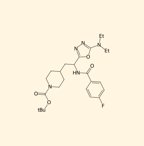 CCN(CC)c1nnc(C(CC2CCN(C(=O)OC(C)(C)C)CC2)NC(=O)c2ccc(F)cc2)o1